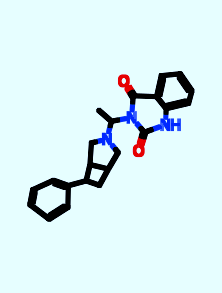 CC(N1CC2CC(c3ccccc3)C2C1)n1c(=O)[nH]c2ccccc2c1=O